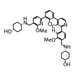 COc1cc(-c2nccc(-c3cccc(-c4ccc(CN[C@H]5CC[C@@H](O)CC5)c(OC)n4)c3Cl)c2C)ccc1CN[C@H]1CC[C@H](O)CC1